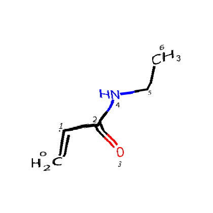 C=[C]C(=O)NCC